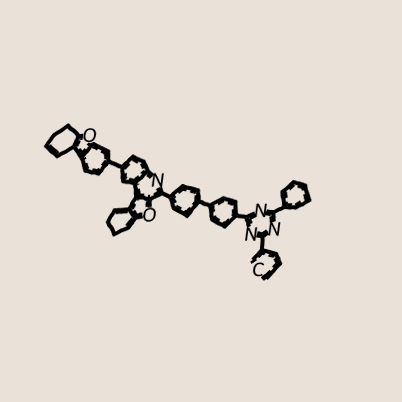 C1=Cc2c(oc3cc(-c4ccc5nc(-c6ccc(-c7ccc(-c8nc(-c9ccccc9)nc(-c9ccccc9)n8)cc7)cc6)c6oc7c(c6c5c4)=CCCC=7)ccc23)CC1